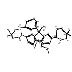 COCOc1ccc(C2OCC(C)(C)CO2)cc1C(O)(c1cccc(N)c1)c1cc(C2OCC(C)(C)CO2)ccc1OC